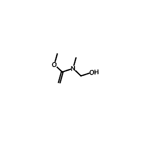 C=C(OC)N(C)CO